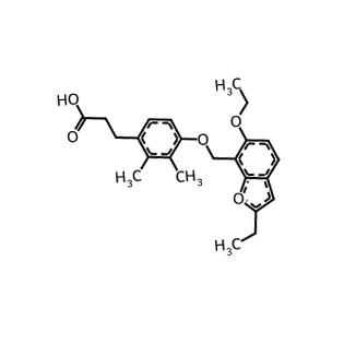 CCOc1ccc2cc(CC)oc2c1COc1ccc(CCC(=O)O)c(C)c1C